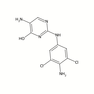 Nc1cnc(Nc2cc(Cl)c(N)c(Cl)c2)nc1O